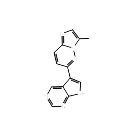 Clc1cnc2ccc(-c3c[nH]c4ncncc34)nn12